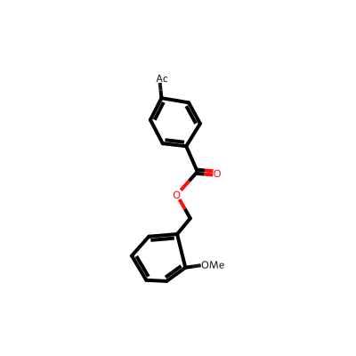 COc1ccccc1COC(=O)c1ccc(C(C)=O)cc1